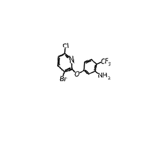 Nc1cc(Oc2nc(Cl)ccc2Br)ccc1C(F)(F)F